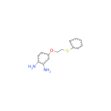 Nc1ccc(OCCSc2ccccc2)cc1N